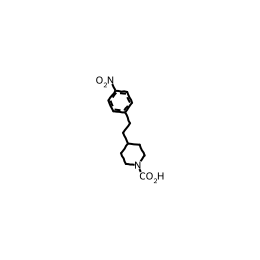 O=C(O)N1CCC(CCc2ccc([N+](=O)[O-])cc2)CC1